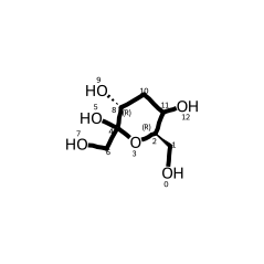 OC[C@H]1OC(O)(CO)[C@H](O)CC1O